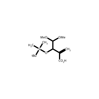 C=C(C(=O)O)C(O[Si](C)(C)C(C)(C)C)C(OC)OC